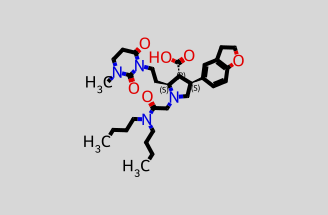 CCCCN(CCCC)C(=O)CN1C[C@H](c2ccc3c(c2)CCO3)[C@@H](C(=O)O)[C@@H]1CCN1C(=O)CCN(C)C1=O